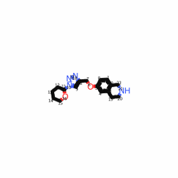 c1cc2c(cc1OCc1cn(C3CCCCO3)nn1)CCNC2